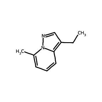 CCc1cnn2c(C)cccc12